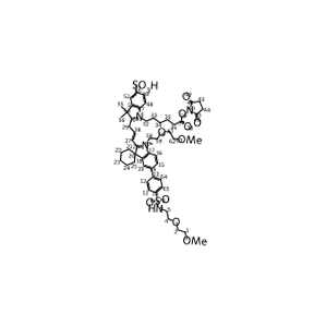 COCCOCCNS(=O)(=O)c1ccc(-c2ccc3c(c2)C2(CCCCC2)C(C=CCC2N(CCCCCC(=O)ON4C(=O)CCC4=O)c4ccc(S(=O)(=O)O)cc4C2(C)C)=[N+]3CCOCCOC)cc1